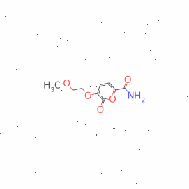 COCCOc1ccc(C(N)=O)oc1=O